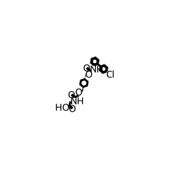 O=C(O)CNC(=O)COC[C@H]1CC[C@H](COC(=O)Nc2ccccc2-c2ccc(Cl)cc2)CC1